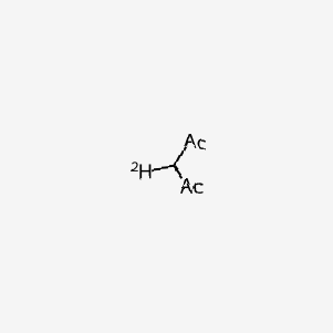 [2H]C(C(C)=O)C(C)=O